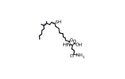 CCCCC/C(C)=C(/C)C/C=C(/S)CCCCCCCC(=O)NC(CCC(N)=O)C(=O)O